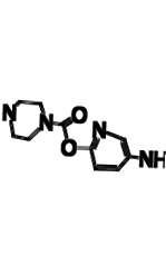 Nc1ccc(OC(=O)N2CCNCC2)nc1